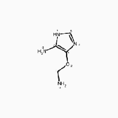 NCOc1nc[nH]c1N